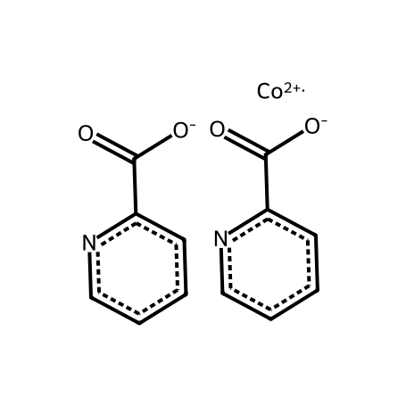 O=C([O-])c1ccccn1.O=C([O-])c1ccccn1.[Co+2]